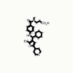 CCc1sc(C2CCSCC2)cc1C(Nc1ccc(C(=O)N(C)CCC(=O)O)cc1)C1CCCCC1